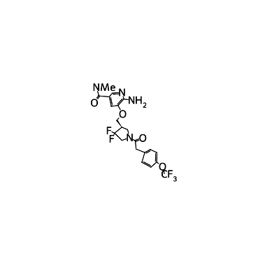 CNC(=O)c1cnc(N)c(OC[C@H]2CN(C(=O)Cc3ccc(OC(F)(F)F)cc3)CC2(F)F)c1